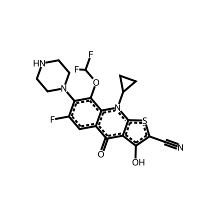 N#Cc1sc2c(c1O)c(=O)c1cc(F)c(N3CCNCC3)c(OC(F)F)c1n2C1CC1